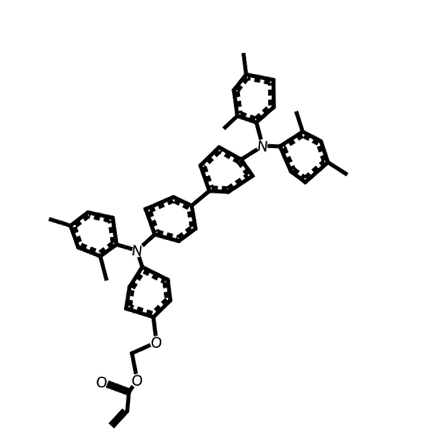 C=CC(=O)OCOc1ccc(N(c2ccc(-c3ccc(N(c4ccc(C)cc4C)c4ccc(C)cc4C)cc3)cc2)c2ccc(C)cc2C)cc1